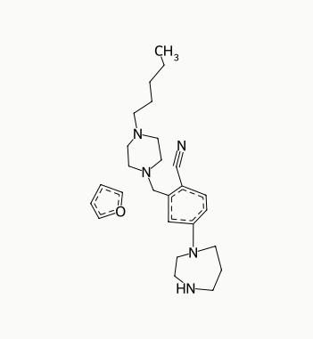 CCCCCN1CCN(Cc2cc(N3CCCNCC3)ccc2C#N)CC1.c1ccoc1